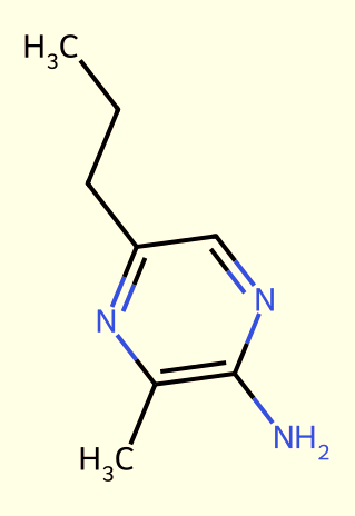 CCCc1cnc(N)c(C)n1